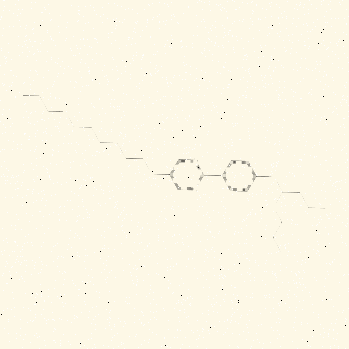 CCCOCCCCCCOc1cnc(-c2ccc(OC(CCC)OCCC)cc2)nc1